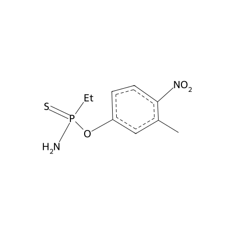 CCP(N)(=S)Oc1ccc([N+](=O)[O-])c(C)c1